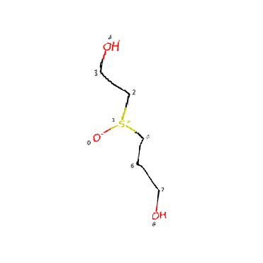 [O-][S+](CCO)CCCO